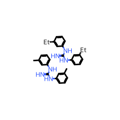 CCc1cccc(NC(=N)Nc2cccc(CC)c2)c1.Cc1cccc(NC(=N)Nc2cccc(C)c2)c1